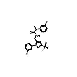 CN(C(=O)NCc1cc(C(F)(F)F)nn1-c1cccc(Cl)c1)c1cccc(F)c1